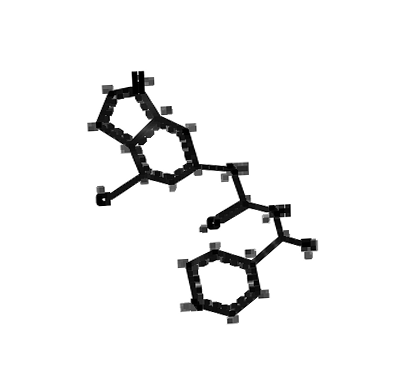 CCC(NC(=O)Nc1cc(Cl)c2cc[nH]c2c1)c1ccncc1